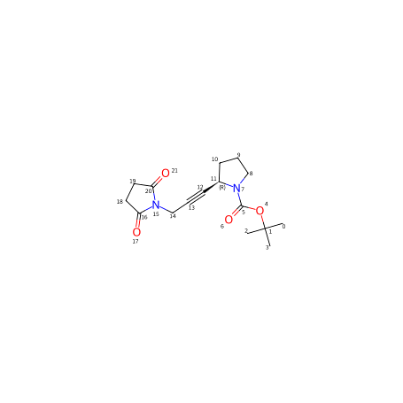 CC(C)(C)OC(=O)N1CCC[C@@H]1C#CCN1C(=O)CCC1=O